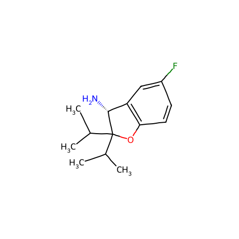 CC(C)C1(C(C)C)Oc2ccc(F)cc2[C@H]1N